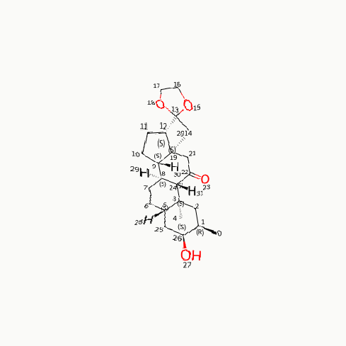 C[C@@H]1C[C@@]2(C)[C@@H](CC[C@H]3[C@@H]4CC[C@H](C5(C)OCCO5)[C@@]4(C)CC(=O)[C@@H]32)C[C@@H]1O